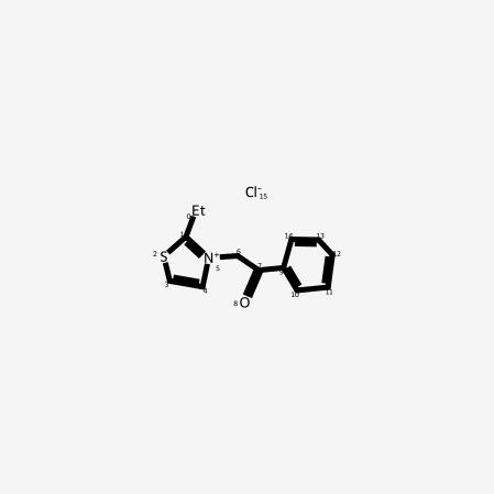 CCc1scc[n+]1CC(=O)c1ccccc1.[Cl-]